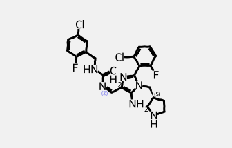 C=C(/N=C\c1nc(-c2c(F)cccc2Cl)n(C[C@H]2CCNC2)c1N)NCc1cc(Cl)ccc1F